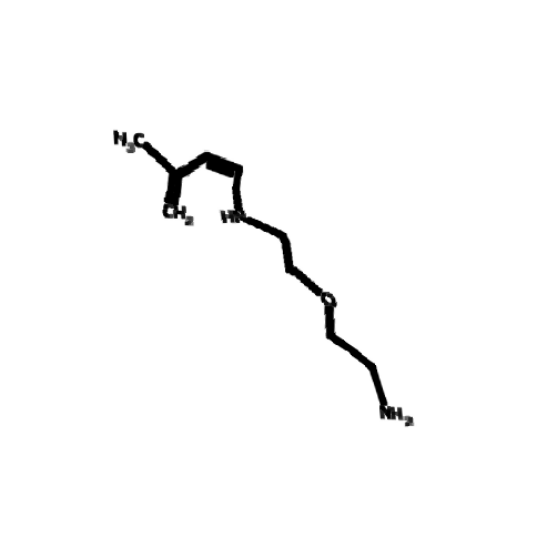 C=C(C)/C=C\NCCOCCN